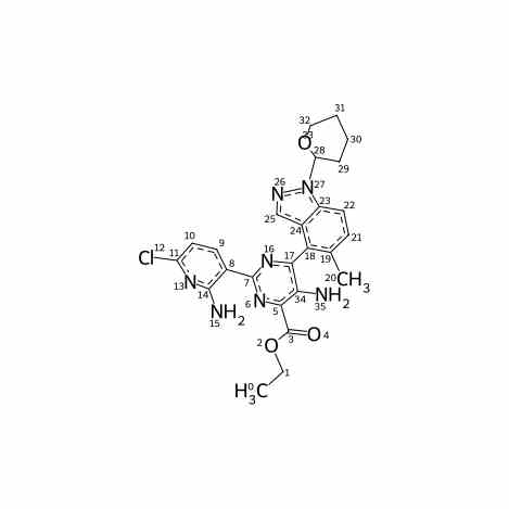 CCOC(=O)c1nc(-c2ccc(Cl)nc2N)nc(-c2c(C)ccc3c2cnn3C2CCCCO2)c1N